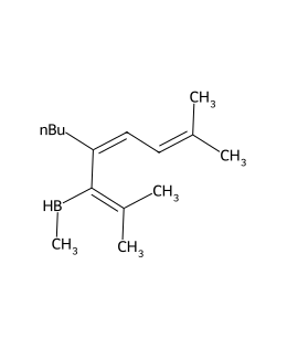 CBC(=C(C)C)/C(=C\C=C(C)C)CCCC